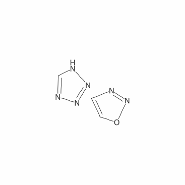 c1conn1.c1nnn[nH]1